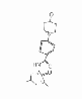 COC(=O)[C@H](CC(C)C)NC(=O)c1ccc(N2CCC(=O)CC2)cc1